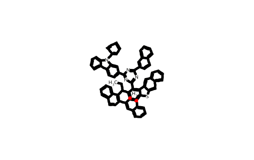 CCC(c1ccc2sc3cc4ccccc4cc3c2c1-c1nc(-c2ccc3ccccc3c2)nc(-c2ccc3c4ccccc4n(-c4ccccc4)c3c2)n1)c1c(-c2cc3ccccc3cc2C)ccc2ccccc12